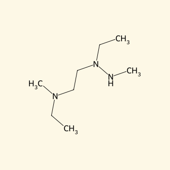 CCN(C)CCN(CC)NC